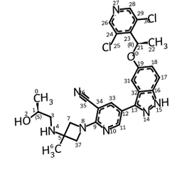 C[C@H](O)CNC1(C)CN(c2ncc(-c3n[nH]c4ccc(O[C@H](C)c5c(Cl)cncc5Cl)cc34)cc2C#N)C1